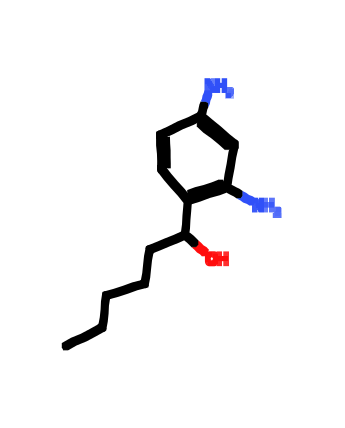 CCCCCC(O)c1ccc(N)cc1N